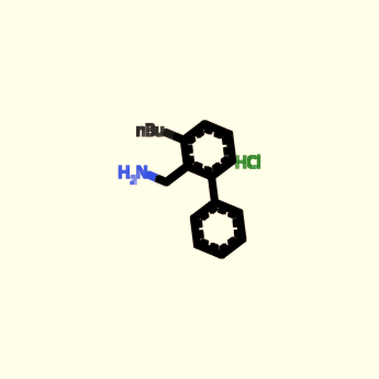 CCCCc1cccc(-c2ccccc2)c1CN.Cl